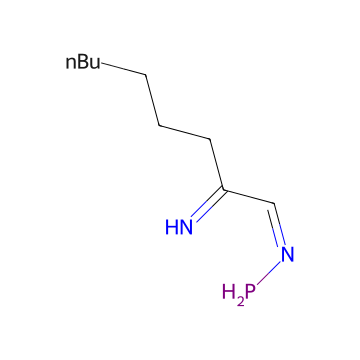 CCCCCCCC(=N)/C=N\P